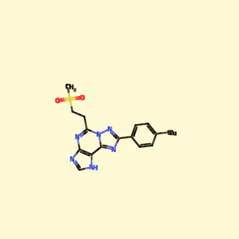 CC(C)(C)c1ccc(-c2nc3c4[nH]cnc4nc(CCS(C)(=O)=O)n3n2)cc1